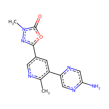 Cc1ncc(-c2nn(C)c(=O)o2)cc1-c1cnc(N)cn1